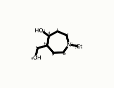 CCN1CCC(O)C(CO)CC1